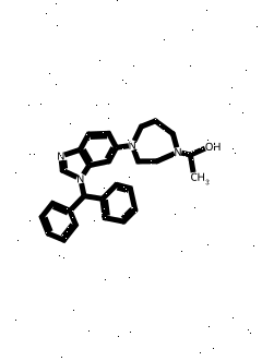 CC(O)N1CCCN(c2ccc3ncn(C(c4ccccc4)c4ccccc4)c3c2)CC1